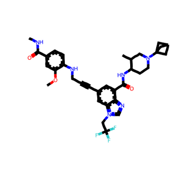 CNC(=O)c1ccc(NCC#Cc2cc(C(=O)NC3CCN(C45CC(C4)C5)CC3C)c3ncn(CC(F)(F)F)c3c2)c(OC)c1